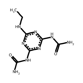 CCNc1nc(NC(N)=O)nc(NC(N)=O)n1